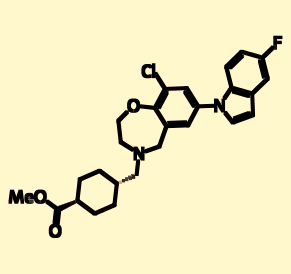 COC(=O)[C@H]1CC[C@H](CN2CCOc3c(Cl)cc(-n4ccc5cc(F)ccc54)cc3C2)CC1